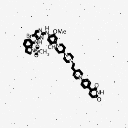 COc1cc(N2CCC(N3CCN(CCC4CCN(c5ccc(C6CCC(=O)NC6=O)cc5)CC4)CC3)CC2)c(C)cc1Nc1ncc(Br)c(Nc2cccc3c2N(S(C)(=O)=O)CC3)n1